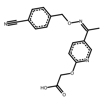 CC(=NOCc1ccc(C#N)cc1)c1ccc(OCC(=O)O)nc1